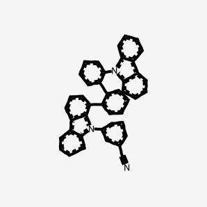 N#Cc1cccc(-n2c3ccccc3c3cccc(-c4ccccc4-c4ccccc4-n4c5ccccc5c5ccccc54)c32)c1